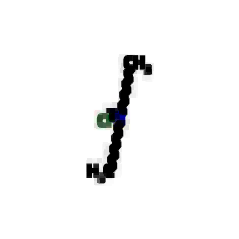 CCCCCCCCCC[N](CCCCCCCCCC)[Ti][Cl]